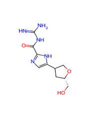 N=C(N)NC(=O)c1ncc(C2CO[C@H](CO)C2)[nH]1